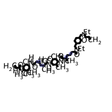 C=CC(=O)NC1(C)CC(C)C(NC(=O)/C=C\C=C(\C)C(=O)NC2(C)CC(C)C(NC(=O)/C(C)=C/C=C/C(=O)N(CC)CC3CCC(CN(CC)C(=O)C=C)CC3)CC2(C)C)CC1(C)C